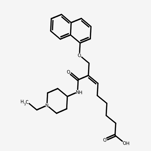 CCN1CCC(NC(=O)C(=CCCCCC(=O)O)COc2cccc3ccccc23)CC1